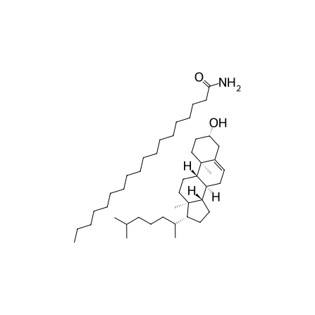 CC(C)CCCC(C)[C@H]1CC[C@H]2[C@@H]3CC=C4C[C@@H](O)CC[C@]4(C)[C@H]3CC[C@]12C.CCCCCCCCCCCCCCCCCC(N)=O